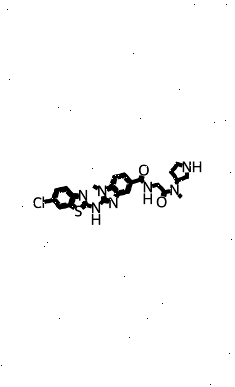 CN(C(=O)CNC(=O)c1ccc2c(c1)nc(Nc1nc3ccc(Cl)cc3s1)n2C)C1CCNC1